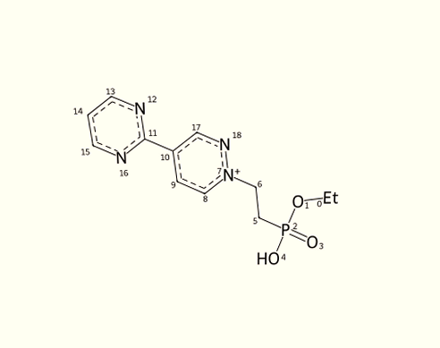 CCOP(=O)(O)CC[n+]1ccc(-c2ncccn2)cn1